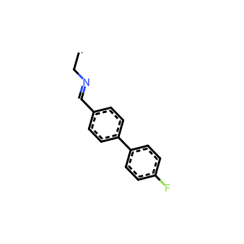 [CH2]CN=Cc1ccc(-c2ccc(F)cc2)cc1